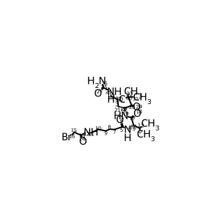 CC(C)[C@H](NC(=O)CCCCCNC(=O)CBr)C(=O)N[C@@H](CCCNC(N)=O)C(=O)C(C)(C)C